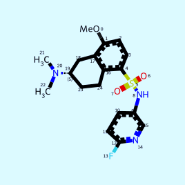 COc1ccc(S(=O)(=O)Nc2ccc(F)nc2)c2c1C[C@@H](N(C)C)CC2